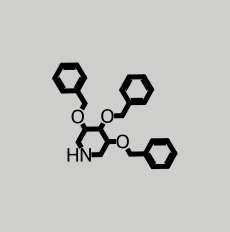 c1ccc(COC2CNCC(OCc3ccccc3)C2OCc2ccccc2)cc1